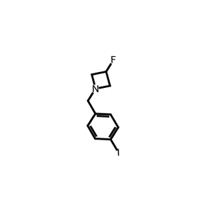 FC1CN(Cc2ccc(I)cc2)C1